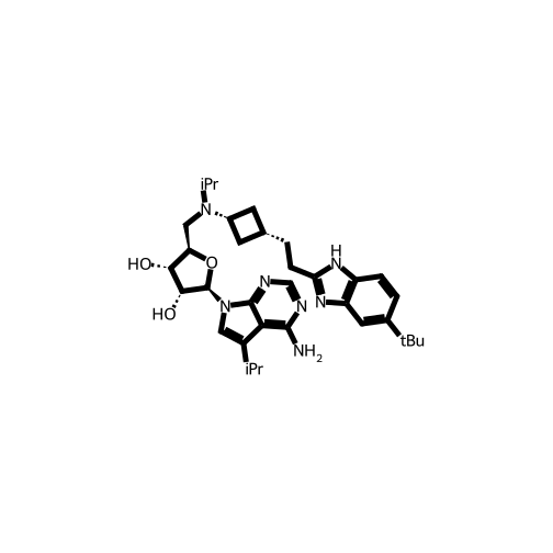 CC(C)c1cn([C@@H]2O[C@H](CN(C(C)C)[C@H]3C[C@@H](CCc4nc5cc(C(C)(C)C)ccc5[nH]4)C3)[C@@H](O)[C@H]2O)c2ncnc(N)c12